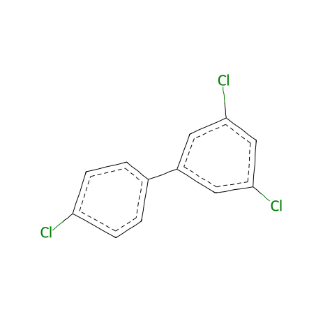 Clc1ccc(-c2cc(Cl)cc(Cl)c2)cc1